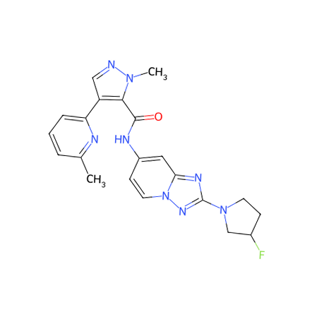 Cc1cccc(-c2cnn(C)c2C(=O)Nc2ccn3nc(N4CCC(F)C4)nc3c2)n1